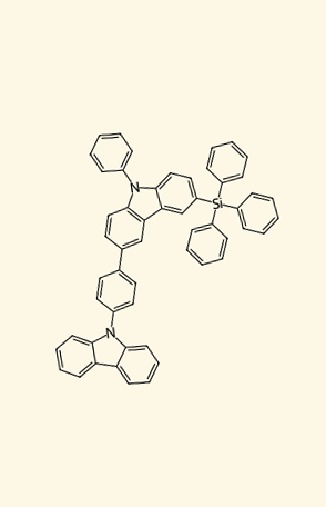 c1ccc(-n2c3ccc(-c4ccc(-n5c6ccccc6c6ccccc65)cc4)cc3c3cc([Si](c4ccccc4)(c4ccccc4)c4ccccc4)ccc32)cc1